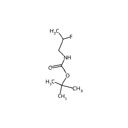 CC(F)CNC(=O)OC(C)(C)C